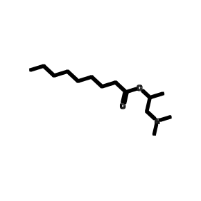 CCCCCCCCC(=O)OC(C)CN(C)C